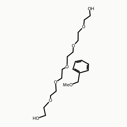 COCc1ccccc1.OCCOCCOCCOCCOCCOCCO